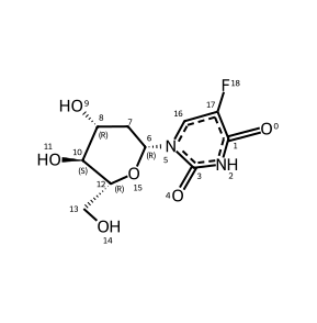 O=c1[nH]c(=O)n([C@H]2C[C@@H](O)[C@H](O)[C@@H](CO)O2)cc1F